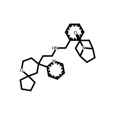 O=C1CC2CCC(C1)N2c1ccccc1CNCCC1(c2ccccn2)CCOC2(CCCC2)C1